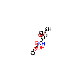 C#CCOc1ccc(CCNC(=O)[C@H](O)COCc2ccccc2)cc1OC